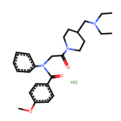 CCN(CC)CC1CCN(C(=O)CN(C(=O)c2ccc(OC)cc2)c2ccccc2)CC1.Cl